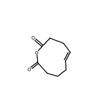 O=C1CC/C=C/CCCC(=O)O1